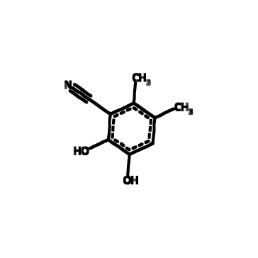 Cc1cc(O)c(O)c(C#N)c1C